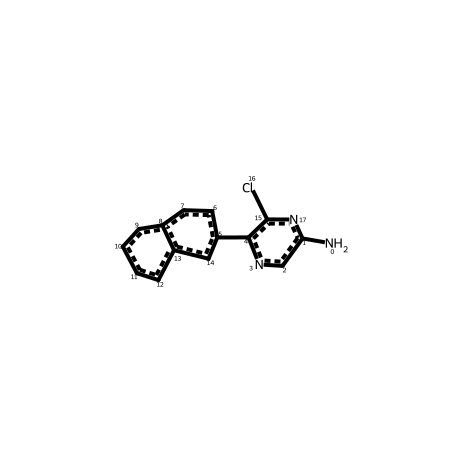 Nc1cnc(-c2ccc3ccccc3c2)c(Cl)n1